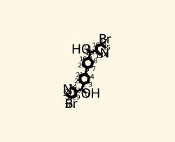 OC(c1ccc(-c2ccc(C(O)c3cncc(Br)c3)cc2)cc1)c1cncc(Br)c1